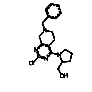 OC[C@@H]1CCCN1c1nc(Cl)nc2c1CCN(Cc1ccccc1)C2